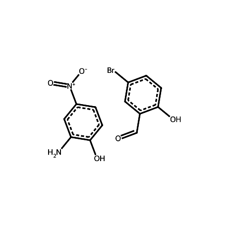 Nc1cc([N+](=O)[O-])ccc1O.O=Cc1cc(Br)ccc1O